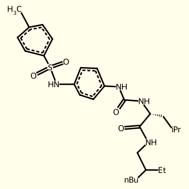 CCCCC(CC)CNC(=O)[C@@H](CC(C)C)NC(=O)Nc1ccc(NS(=O)(=O)c2ccc(C)cc2)cc1